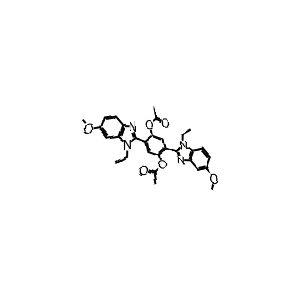 CCn1c(-c2cc(OC(C)=O)c(-c3nc4ccc(OC)cc4n3CC)cc2OC(C)=O)nc2cc(OC)ccc21